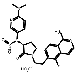 CN(C)c1ccc(N([C@H]2CCN([C@H](Cc3ccc4c(N)nccc4c3F)C(=O)O)C2=O)[SH](=O)=O)cn1